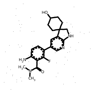 CN(C)C(=O)c1c(N)ccc(-c2cnc3c(c2)C2(CCC(O)CC2)CN3)c1F